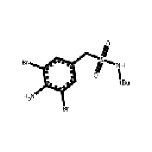 CC(C)(C)NS(=O)(=O)Cc1cc(Br)c(N)c(Br)c1